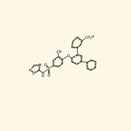 N#Cc1cc(S(=O)(=O)Nc2ncns2)ccc1Oc1ccc(-c2ccccc2)cc1-c1cccc(C(=O)O)c1